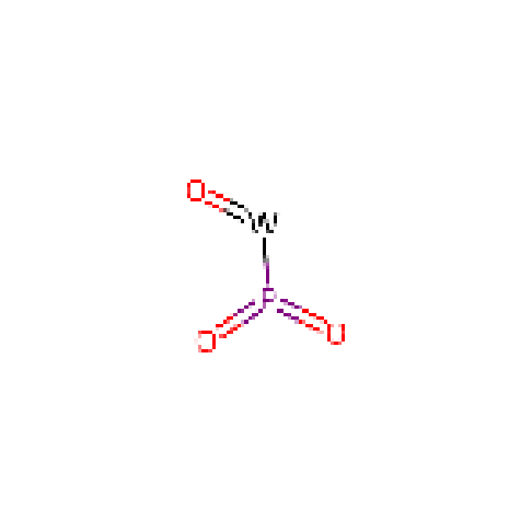 [O]=[W][P](=O)=O